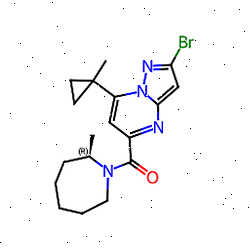 C[C@@H]1CCCCCN1C(=O)c1cc(C2(C)CC2)n2nc(Br)cc2n1